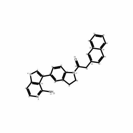 Nc1nccc2scc(-c3ccc4c(c3)CCN4C(=O)Cc3ccc4ccccc4c3)c12